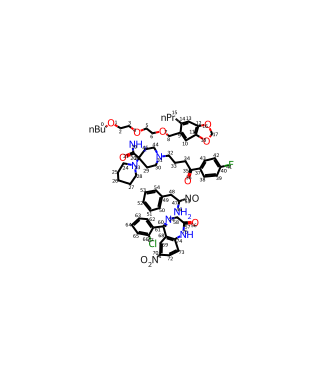 CCCCOCCOCCOCc1cc2c(cc1CCC)OCO2.NC(=O)C1(N2CCCCC2)CCN(CCCC(=O)c2ccc(F)cc2)CC1.NC(Cc1ccccc1)N=O.O=C1CN=C(c2ccccc2Cl)c2cc([N+](=O)[O-])ccc2N1